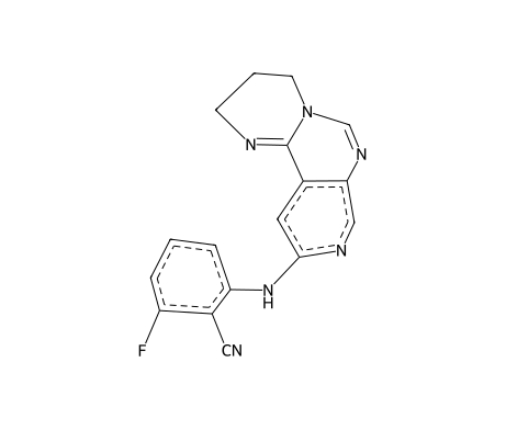 N#Cc1c(F)cccc1Nc1cc2c(cn1)N=CN1CCCN=C21